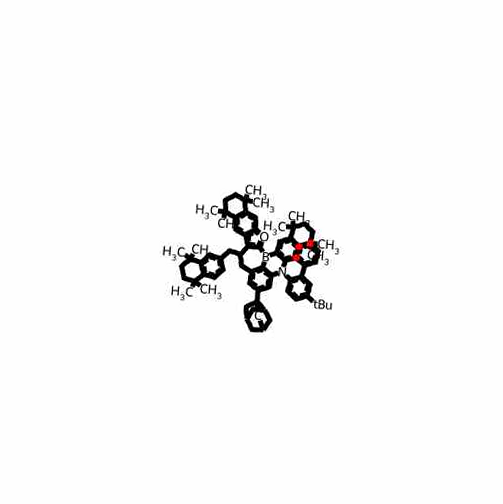 CC(C)(C)c1ccc(N2c3cc4c(cc3B3c5oc6cc7c(cc6c5C(Cc5ccc6c(c5)C(C)(C)CCC6(C)C)Cc5cc(C68CC9CC(CC6C9)C8)cc2c53)C(C)(C)CCC7(C)C)C(C)(C)CCC4(C)C)c(-c2ccccc2)c1